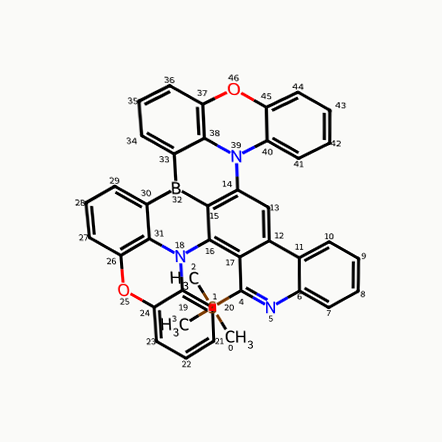 CS(C)(C)c1nc2ccccc2c2cc3c4c(c12)N1c2ccccc2Oc2cccc(c21)B4c1cccc2c1N3c1ccccc1O2